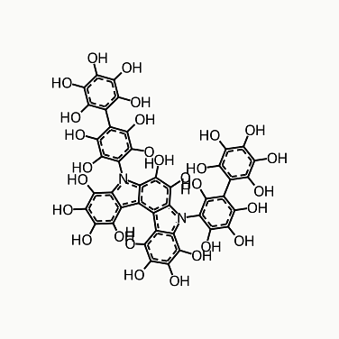 Oc1c(O)c(O)c(-c2c(O)c(O)c(-n3c4c(O)c(O)c(O)c(O)c4c4c5c6c(O)c(O)c(O)c(O)c6n(-c6c(O)c(O)c(O)c(-c7c(O)c(O)c(O)c(O)c7O)c6O)c5c(O)c(O)c43)c(O)c2O)c(O)c1O